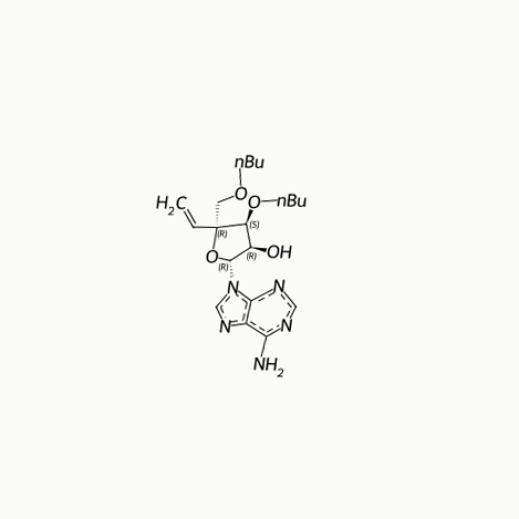 C=C[C@]1(COCCCC)O[C@@H](n2cnc3c(N)ncnc32)[C@H](O)[C@@H]1OCCCC